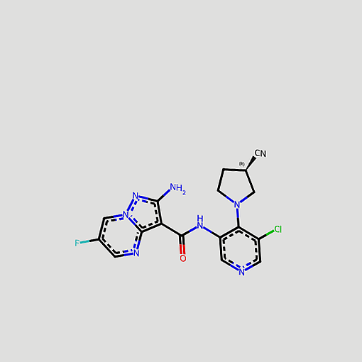 N#C[C@@H]1CCN(c2c(Cl)cncc2NC(=O)c2c(N)nn3cc(F)cnc23)C1